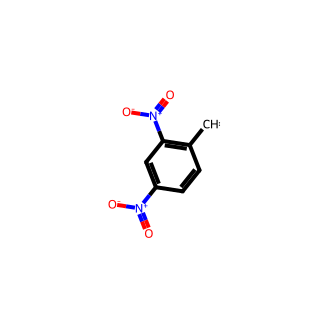 [CH]c1ccc([N+](=O)[O-])cc1[N+](=O)[O-]